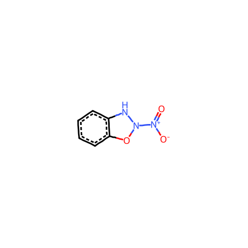 O=[N+]([O-])N1Nc2ccccc2O1